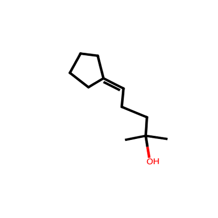 CC(C)(O)CCC=C1CCCC1